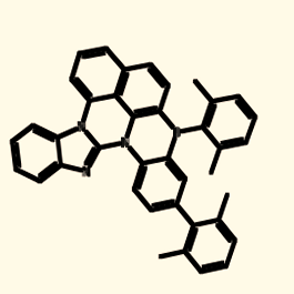 Cc1cccc(C)c1B1c2cc(-c3c(C)cccc3C)ccc2-n2c3c1ccc1cccc(c13)n1c3ccccc3nc21